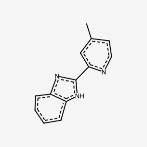 Cc1ccnc(-c2nc3ccccc3[nH]2)c1